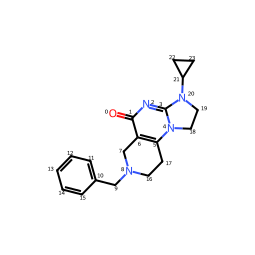 O=c1nc2n(c3c1CN(Cc1ccccc1)CC3)CCN2C1CC1